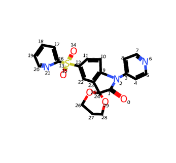 O=C1N(c2ccncc2)c2ccc(S(=O)(=O)c3ccccn3)cc2C12OCCCO2